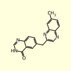 Cc1ccc2ncc(Cc3ccc4nc[nH]c(=O)c4c3)nc2c1